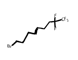 FC(F)(F)C(F)(F)CCC=CCCCBr